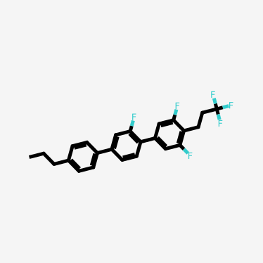 CCCc1ccc(-c2ccc(-c3cc(F)c(CCC(F)(F)F)c(F)c3)c(F)c2)cc1